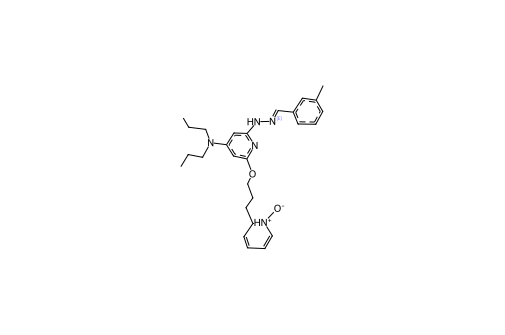 CCCN(CCC)c1cc(N/N=C/c2cccc(C)c2)nc(OCCCC2C=CC=C[NH+]2[O-])c1